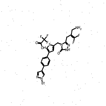 CCn1cc(-c2ccc(-c3csc(Cn4c(CC(CN)=C(F)F)n[nH]c4=O)c3)cc2)cn1.O=C(O)C(F)(F)F